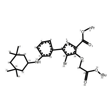 CCCOC(=O)c1sc(-c2cccc(NC3CC(C)(C)CC(C)(C)C3)c2)c(Br)c1OCC(=O)OC(C)(C)C